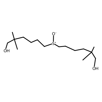 CC(C)(CO)CCCC[S+]([O-])CCCCC(C)(C)CO